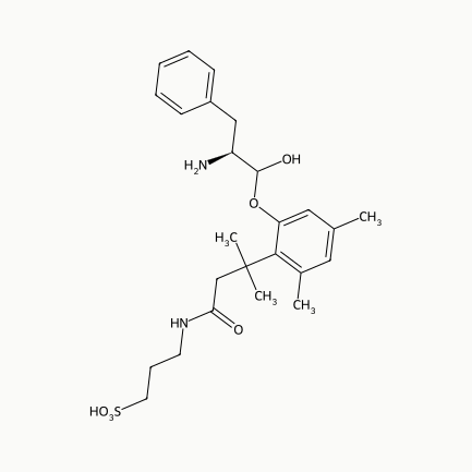 Cc1cc(C)c(C(C)(C)CC(=O)NCCCS(=O)(=O)O)c(OC(O)[C@@H](N)Cc2ccccc2)c1